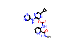 CC(C)NC(=O)c1ncccc1NC(=O)Oc1nc(C2CC2)cnc1Nc1cncnc1